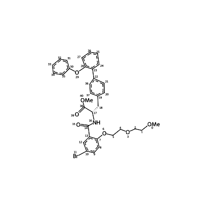 COCCOCCOc1ccc(Br)cc1C(=O)N[C@@H](Cc1ccc(-c2ccccc2Oc2ccccc2)cc1)C(=O)OC